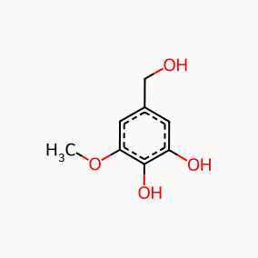 COc1cc(CO)cc(O)c1O